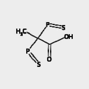 CC(P=S)(P=S)C(=O)O